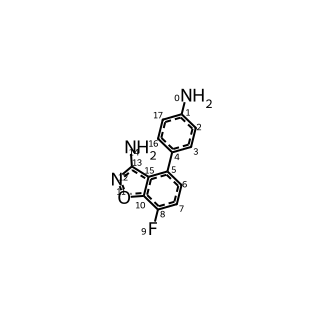 Nc1ccc(-c2ccc(F)c3onc(N)c23)cc1